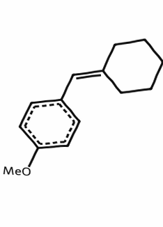 COc1ccc(C=C2CCCCC2)cc1